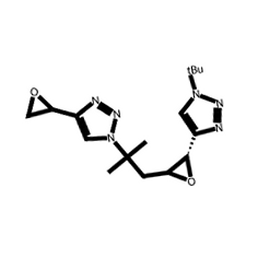 CC(C)(C)n1cc([C@@H]2OC2CC(C)(C)n2cc(C3CO3)nn2)nn1